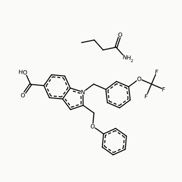 CCCC(N)=O.O=C(O)c1ccc2c(c1)cc(COc1ccccc1)n2Cc1cccc(OC(F)(F)F)c1